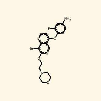 Nc1ccc(Oc2ccnc3c(Br)c(OCCN4CCOCC4)ncc23)c(F)c1